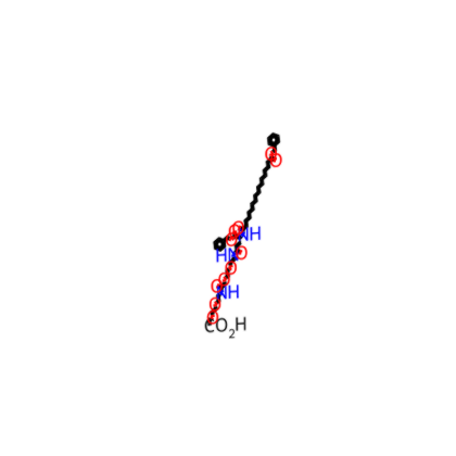 O=C(O)COCCOCCNC(=O)COCCOCCNC(=O)CC[C@H](NC(=O)CCCCCCCCCCCCCCCCC(=O)OCc1ccccc1)C(=O)OCc1ccccc1